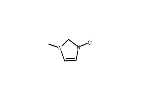 CN1C=CN(Cl)C1